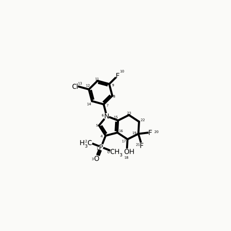 CP(C)(=O)c1cn(-c2cc(F)cc(Cl)c2)c2c1C(O)C(F)(F)CC2